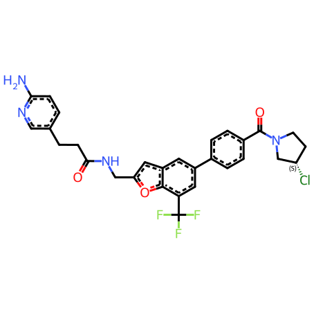 Nc1ccc(CCC(=O)NCc2cc3cc(-c4ccc(C(=O)N5CC[C@H](Cl)C5)cc4)cc(C(F)(F)F)c3o2)cn1